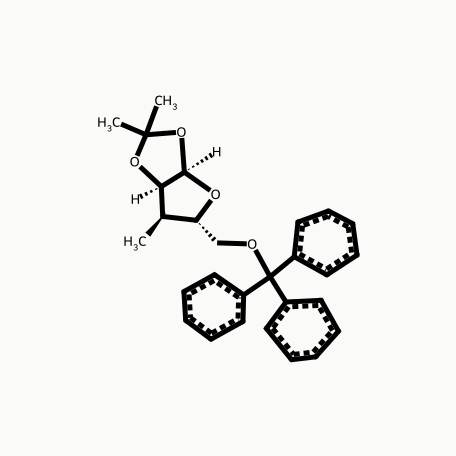 C[C@H]1[C@H]2OC(C)(C)O[C@H]2O[C@@H]1COC(c1ccccc1)(c1ccccc1)c1ccccc1